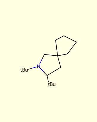 CC(C)(C)C1CC2(CCCC2)CN1C(C)(C)C